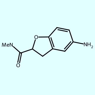 CNC(=O)C1Cc2cc(N)ccc2O1